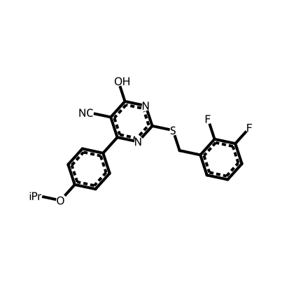 CC(C)Oc1ccc(-c2nc(SCc3cccc(F)c3F)nc(O)c2C#N)cc1